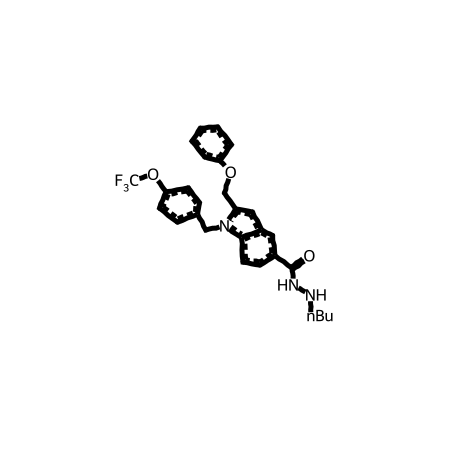 CCCCNNC(=O)c1ccc2c(c1)cc(COc1ccccc1)n2Cc1ccc(OC(F)(F)F)cc1